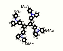 COc1ccc(N2c3ccc(-c4cc(-c5cc(-c6ccc7c(c6)c6ccccc6n7-c6ccc(OC)cc6)c(C)c(-c6ccc7c(c6)c6ccccc6n7-c6ccc(OC)cc6)c5)cc(-c5ccc6c(c5)c5ccccc5n6-c5ccc(OC)cc5)c4C)cc3C3C=CC=CC32)cc1